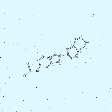 C=C(Nc1ccc2cn(-c3ccc4ccccc4c3)nc2c1)C(C)C